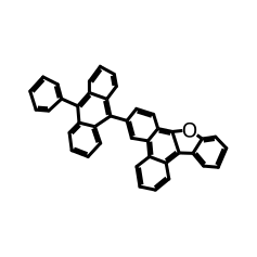 c1ccc(-c2c3ccccc3c(-c3ccc4c(c3)c3ccccc3c3c5ccccc5oc43)c3ccccc23)cc1